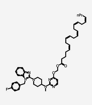 CCC/C=C\C/C=C\C/C=C\C/C=C\C/C=C\CCCC(=O)OCOc1ccnc(N(C)C2CCN(c3nc4ccccc4n3Cc3ccc(F)cc3)CC2)n1